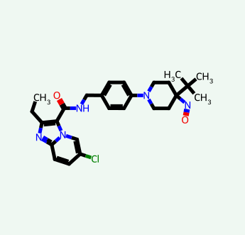 CCc1nc2ccc(Cl)cn2c1C(=O)NCc1ccc(N2CCC(N=O)(C(C)(C)C)CC2)cc1